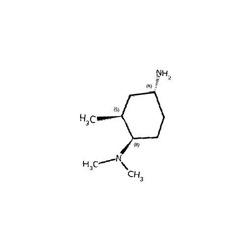 C[C@H]1C[C@H](N)CC[C@H]1N(C)C